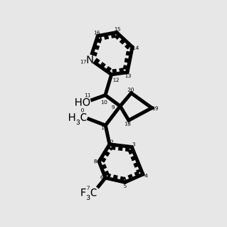 CC(c1cccc(C(F)(F)F)c1)C1(C(O)c2ccccn2)CCC1